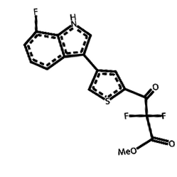 COC(=O)C(F)(F)C(=O)c1cc(-c2c[nH]c3c(F)cccc23)cs1